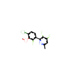 COc1c(Cl)ccc(-c2nc(C)cc(F)c2F)c1F